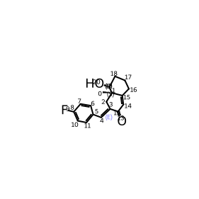 C[C@]12C/C(=C\c3ccc(F)cc3)C(=O)C=C1CCC[C@@H]2O